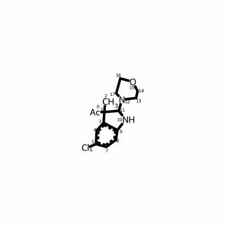 CC(=O)C1(C)c2cc(Cl)ccc2NC1N1CCOCC1